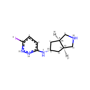 Ic1ccc(N[C@@H]2C[C@H]3CNC[C@H]3C2)nn1